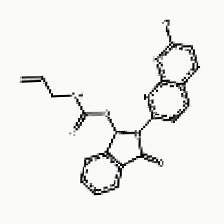 C=CCNC(=O)OC1c2ccccc2C(=O)N1c1ccc2ccc(Cl)nc2n1